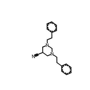 N#CC1CN(CCc2ccccc2)CN(CCc2ccccc2)C1